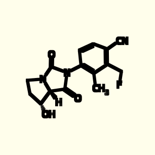 Cc1c(N2C(=O)[C@@H]3[C@H](O)CCN3C2=O)ccc(C#N)c1CF